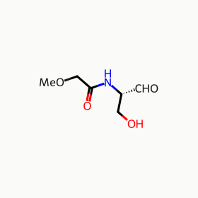 COCC(=O)N[C@H](C=O)CO